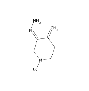 C=C1CCN(CC)C/C1=N/N